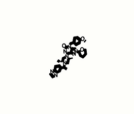 CC[C@@H]1CN(c2nc(=O)n(Cc3ccc(OC)cc3)c3cn(C4CCCCO4)nc23)[C@@H](C)CN1C(C)c1ccc2nccnc2c1